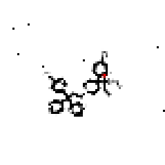 CCC(N)(CC)C1(c2ccc(Cl)cc2)CCN(CCC(c2ccccc2)(c2ccc(Cl)cc2)c2cccnc2)CC1